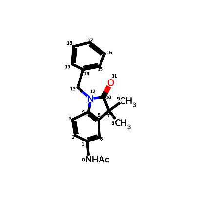 CC(=O)Nc1ccc2c(c1)C(C)(C)C(=O)N2Cc1ccccc1